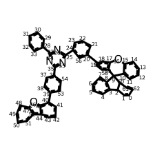 C1=CC2c3ccccc3C3(c4ccccc4Oc4cc(-c5cccc(-c6nc(-c7ccccc7)nc(-c7ccc(-c8cccc9c8oc8ccccc89)cc7)n6)c5)ccc43)C2C=C1